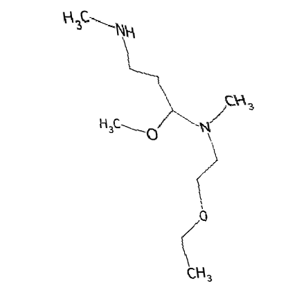 CCOCCN(C)C(CCNC)OC